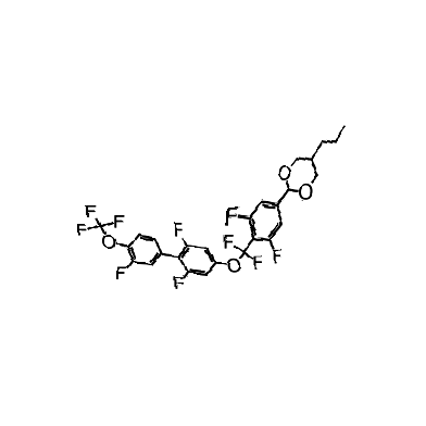 CCCC1COC(c2cc(F)c(C(F)(F)Oc3cc(F)c(-c4ccc(OC(F)(F)F)c(F)c4)c(F)c3)c(F)c2)OC1